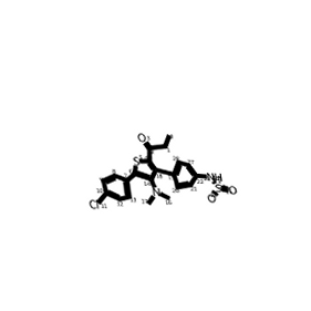 CCC(=O)c1sc(-c2ccc(Cl)cc2)c(N(C)C)c1-c1ccc(N[SH](=O)=O)cc1